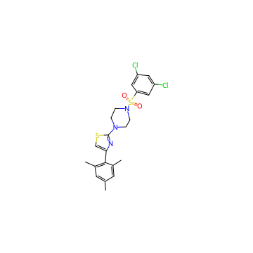 Cc1cc(C)c(-c2csc(N3CCN(S(=O)(=O)c4cc(Cl)cc(Cl)c4)CC3)n2)c(C)c1